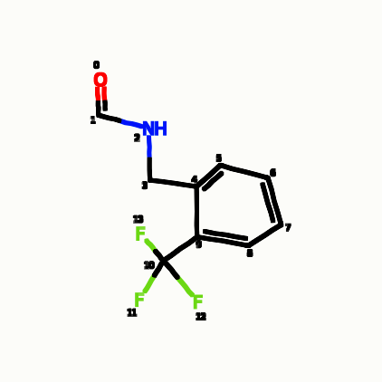 O=CNCc1ccccc1C(F)(F)F